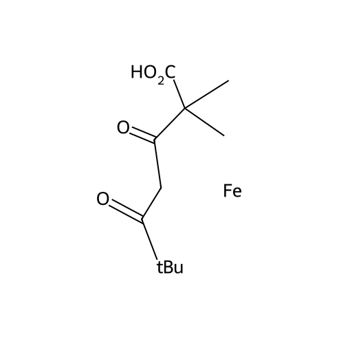 CC(C)(C)C(=O)CC(=O)C(C)(C)C(=O)O.[Fe]